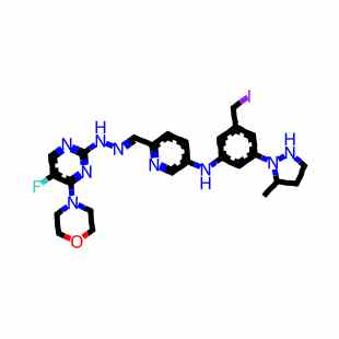 CC1CCNN1c1cc(CI)cc(Nc2ccc(/C=N/Nc3ncc(F)c(N4CCOCC4)n3)nc2)c1